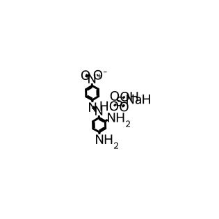 Nc1ccc(/N=N/c2ccc([N+](=O)[O-])cc2)c(N)c1.O=S(=O)(O)O.[NaH]